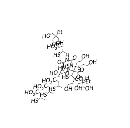 CC(S)CC(=O)O.CC(S)CC(=O)O.CC(S)CC(=O)O.CC(S)CC(=O)O.CCC(CO)(CO)CO.CCC(CO)(CO)COC(=O)C(C(S)CC(=O)O)(C(S)C(CCO)C(=O)O)C(CCO)(SCCO)n1c(=O)[nH]c(=O)[nH]c1=O